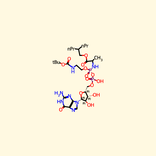 CCCC(CCC)COC(=O)C(C)NP(=O)(OCCNC(=O)OC(C)(C)C)OP(=O)(O)OC[C@H]1O[C@@H](n2cnc3c(=O)[nH]c(N)nc32)[C@H](O)[C@H]1O